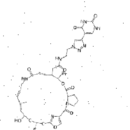 CC1=C\C(O)CC(F)Cc2nc(co2)C(=O)N2CCCC2C(=O)OC(C(C)C)C(CC(=O)NCCn2cc(-c3c[nH]c(=O)[nH]c3=O)nn2)/C=C/C(=O)NC\C=C\1